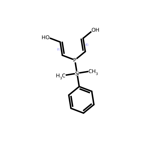 C[Si](C)(c1ccccc1)P(/C=C/O)/C=C/O